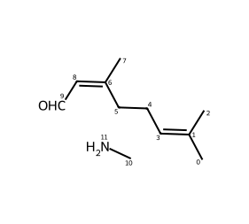 CC(C)=CCCC(C)=CC=O.CN